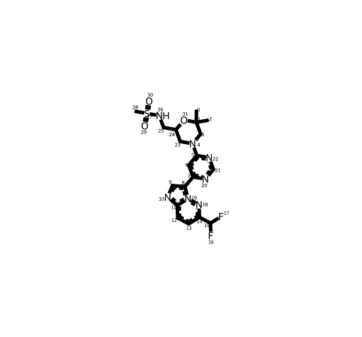 CC1(C)CN(c2cc(-c3cnc4ccc(C(F)F)nn34)ncn2)CC(CNS(C)(=O)=O)O1